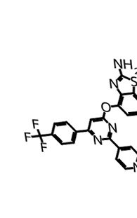 Nc1nc2c(Oc3cc(-c4ccc(C(F)(F)F)cc4)nc(-c4ccncc4)n3)cccc2s1